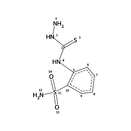 NNC(=S)Nc1ccccc1S(N)(=O)=O